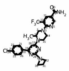 CC1CN(c2ncc(C(N)=O)cc2C(F)(F)F)CCN1c1cc(-c2ccc(Cl)cc2)nc(N2CCC2)n1